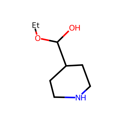 CCOC(O)C1CCNCC1